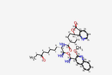 CCC(=O)CCCCC[C@H](NC(=O)[C@H]1CC[C@]2(CC1)OC(=O)c1cccnc12)C(=N)OC(=N)c1cc2ccccc2nc1OC